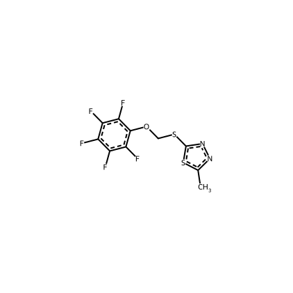 Cc1nnc(SCOc2c(F)c(F)c(F)c(F)c2F)s1